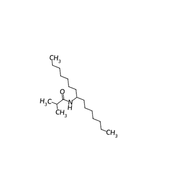 CCCCCCCC(CCCCCCC)NC(=O)C(C)C